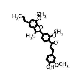 C/C=C/c1cc(OC)c2c(c1)C(C)C(c1ccc(C(=O)/C=C/c3ccc(O)c(OC)c3)c(OC)c1)O2